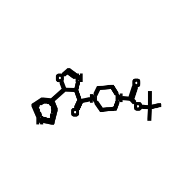 CC(C)(C)OC(=O)N1CCN(C(=O)C2N=COC2c2ccncc2)CC1